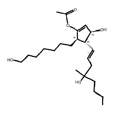 CCCCC(C)(O)C/C=C/[C@H]1[C@H](O)C=C(OC(C)=O)[C@@H]1CCCCCCCO